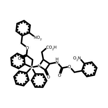 O=C(O)CC1C(NC(=O)OCc2ccccc2[N+](=O)[O-])C(=O)N1P(CC(=O)OCc1ccccc1[N+](=O)[O-])(c1ccccc1)(c1ccccc1)c1ccccc1